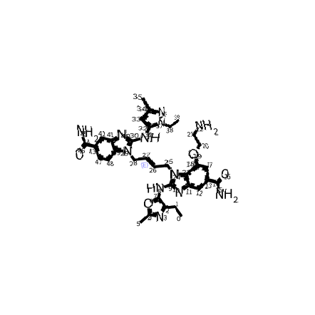 CCc1nc(C)oc1Nc1nc2cc(C(N)=O)cc(OCCN)c2n1C/C=C/Cn1c(Nc2cc(C)nn2CC)nc2cc(C(N)=O)ccc21